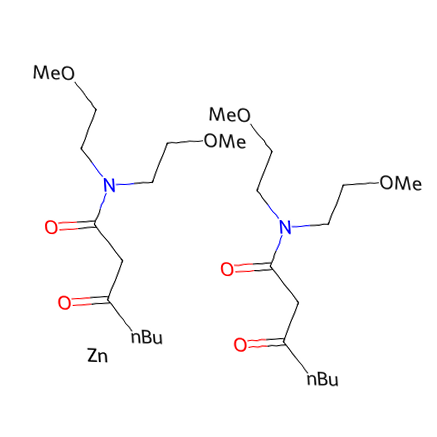 CCCCC(=O)CC(=O)N(CCOC)CCOC.CCCCC(=O)CC(=O)N(CCOC)CCOC.[Zn]